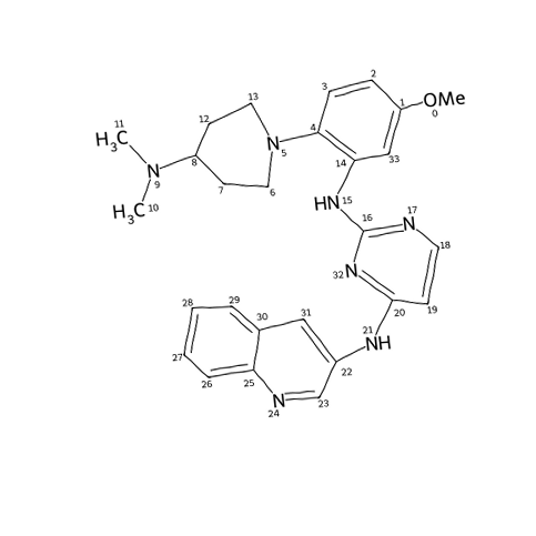 COc1ccc(N2CCC(N(C)C)CC2)c(Nc2nccc(Nc3cnc4ccccc4c3)n2)c1